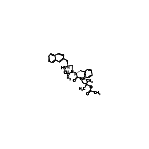 CN[C@@H](Cc1ccc2ccccc2c1)CN(C)[C@H](Cc1ccccc1)C(=O)NCC(C)(C)OC(C)=O